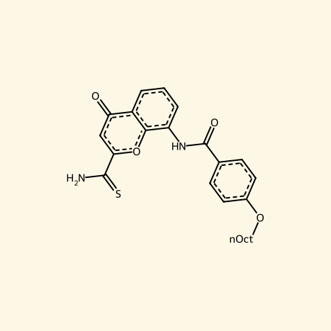 CCCCCCCCOc1ccc(C(=O)Nc2cccc3c(=O)cc(C(N)=S)oc23)cc1